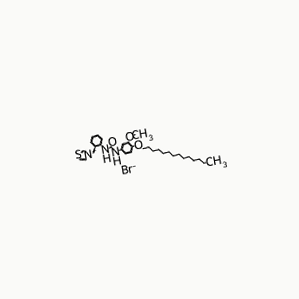 CCCCCCCCCCCCCCOc1ccc(NC(=O)Nc2ccccc2C[n+]2ccsc2)cc1OC.[Br-]